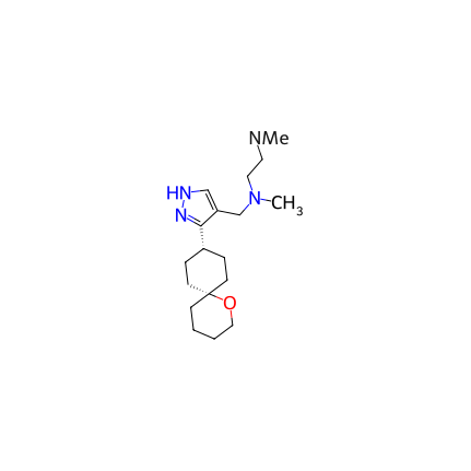 CNCCN(C)Cc1c[nH]nc1[C@H]1CC[C@]2(CCCCO2)CC1